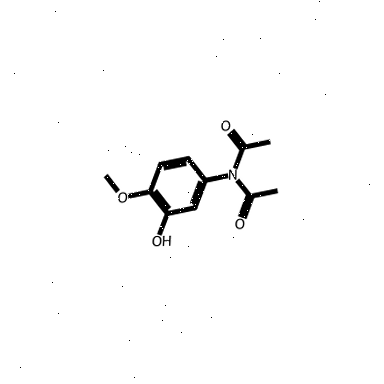 COc1ccc(N(C(C)=O)C(C)=O)cc1O